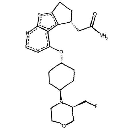 NC(=O)C[C@H]1CCc2sc3nccc(O[C@H]4CC[C@H](N5CCOC[C@@H]5CF)CC4)c3c21